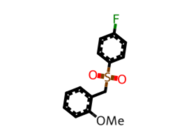 COc1ccccc1CS(=O)(=O)c1ccc(F)cc1